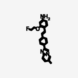 Cc1ccc2nc(-c3ccc(C=Cc4ccc(N)cc4OCCF)cc3)cn2c1